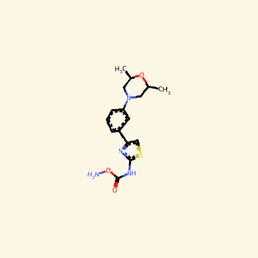 CC1CN(c2cccc(-c3csc(NC(=O)ON)n3)c2)CC(C)O1